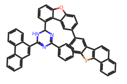 c1ccc(C2=NC(c3cccc4oc5ccc(-c6ccc7sc8c9ccccc9ccc8c7c6)cc5c34)NC(c3cc4ccccc4c4ccccc34)=N2)cc1